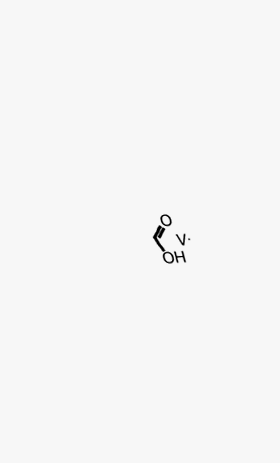 O=CO.[V]